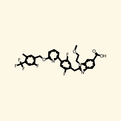 COCCn1c(Cc2cc(F)c(-c3cccc(OCc4cc(C)c(C(F)(F)F)cc4F)n3)cc2F)nc2ccc(C(=O)O)cc21